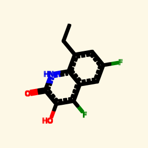 CCc1cc(F)cc2c(F)c(O)c(=O)[nH]c12